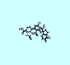 COC(=O)C1(Cc2nc(Cl)nc(N3CCN(C(=O)O)[C@@H](CC#N)C3)c2[N+](=O)[O-])CCc2c1ccc(F)c2Cl